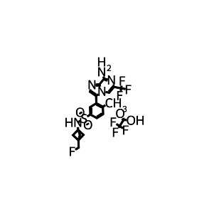 Cc1ccc(S(=O)(=O)NC23CC(CF)(C2)C3)cc1-c1cnc2c(N)nc(C(F)(F)F)cn12.O=C(O)C(F)(F)F